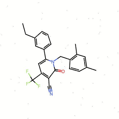 CCc1cccc(-c2cc(C(F)(F)F)c(C#N)c(=O)n2Cc2ccc(C)cc2C)c1